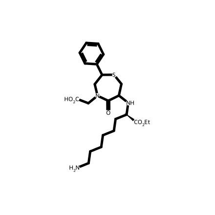 CCOC(=O)[C@@H](CCCCCCN)NC1CSC(c2ccccc2)CN(CC(=O)O)C1=O